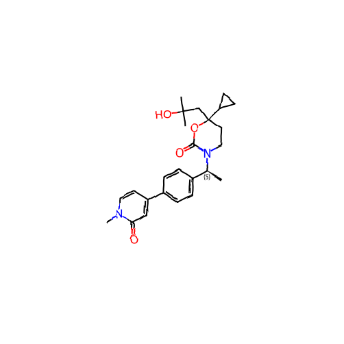 C[C@@H](c1ccc(-c2ccn(C)c(=O)c2)cc1)N1CCC(CC(C)(C)O)(C2CC2)OC1=O